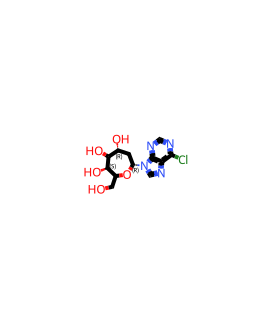 OCC1O[C@@H](n2cnc3c(Cl)ncnc32)C[C@@H](O)C(O)[C@@H]1O